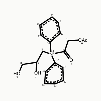 CC(=O)OCC(=O)[N+](CC(O)CO)(c1ccccc1)c1ccccc1